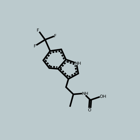 CC(Cc1c[nH]c2cc(C(F)(F)F)ccc12)NC(=O)O